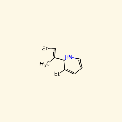 CC/C=C(\C)C1NC=CC=C1CC